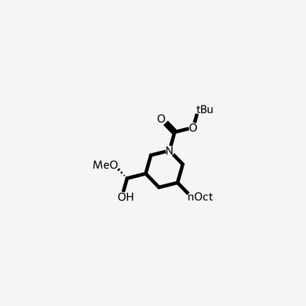 CCCCCCCCC1CC([C@H](O)OC)CN(C(=O)OC(C)(C)C)C1